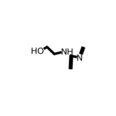 C=NC(=C)NCCO